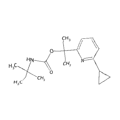 CC(C)(C)NC(=O)OC(C)(C)c1cccc(C2CC2)n1